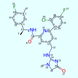 Cc1cc([C@H](C)NC(=O)c2cc(CNC3=NC(=O)CN3C)cc(-c3ccc(F)cc3Cl)n2)ccc1F